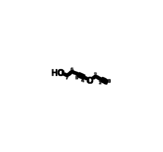 C#CCOC#CCCO